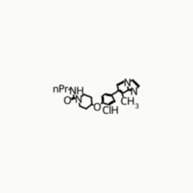 CCCNC(=O)N1CCC(Oc2ccc(-c3ccn4ccnc4c3C)cc2)CC1.Cl